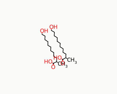 CC(CCCCCCCCCCO)C(=O)O.CC(CCCCCCCCCCO)C(=O)O